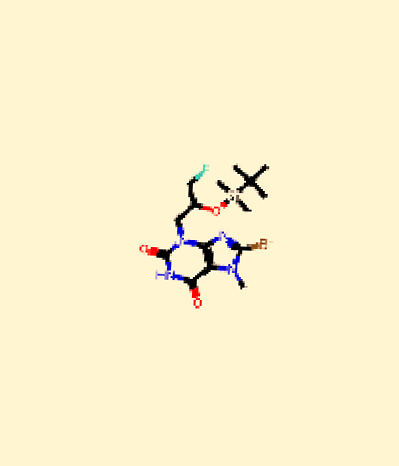 Cn1c(Br)nc2c1c(=O)[nH]c(=O)n2CC(CF)O[Si](C)(C)C(C)(C)C